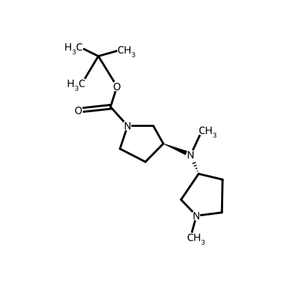 CN1CC[C@@H](N(C)[C@H]2CCN(C(=O)OC(C)(C)C)C2)C1